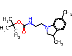 Cc1ccc2c(c1)N(CCNC(=O)OC(C)(C)C)CC2C